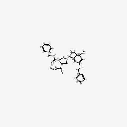 COC(=O)[C@@H]1C[C@@H](n2ncc3c(Cl)cc(SCc4ccccc4)cc32)CN1C(=O)OCc1ccccc1